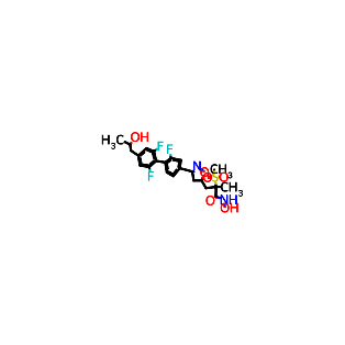 CC(O)Cc1cc(F)c(-c2ccc(C3=NOC(CC(C)(C(=O)NO)S(C)(=O)=O)C3)cc2F)c(F)c1